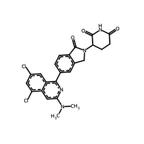 CN(C)c1cc2c(Cl)cc(Cl)cc2c(-c2ccc3c(c2)CN(C2CCC(=O)NC2=O)C3=O)n1